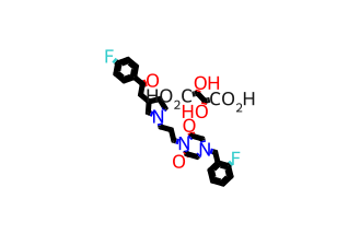 O=C(CC1CCN(CCCN2C(=O)CN(Cc3ccccc3F)CC2=O)C1)c1ccc(F)cc1.O=C(O)C(O)C(O)C(=O)O